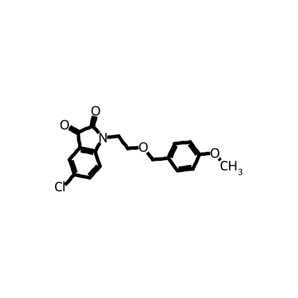 COc1ccc(COCCN2C(=O)C(=O)c3cc(Cl)ccc32)cc1